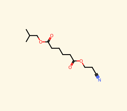 CC(C)COC(=O)CCCCC(=O)OCCC#N